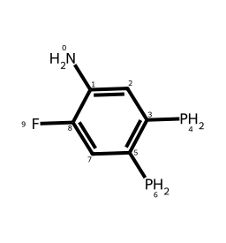 Nc1cc(P)c(P)cc1F